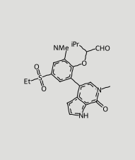 CCS(=O)(=O)c1cc(NC)c(OC(C=O)C(C)C)c(-c2cn(C)c(=O)c3[nH]ccc23)c1